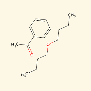 CC(=O)c1ccccc1.CCCCOCCCC